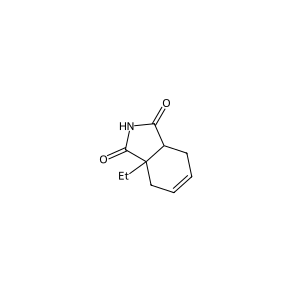 CCC12CC=CCC1C(=O)NC2=O